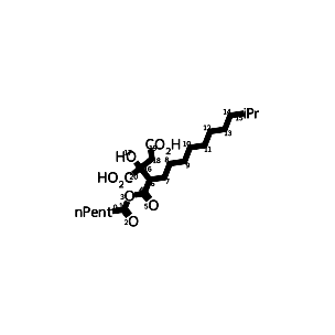 CCCCCC(=O)OC(=O)C(CCCCCCCCC(C)C)C(O)(CC(=O)O)C(=O)O